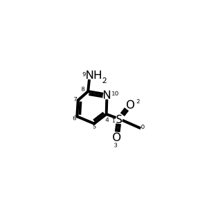 CS(=O)(=O)c1cccc(N)n1